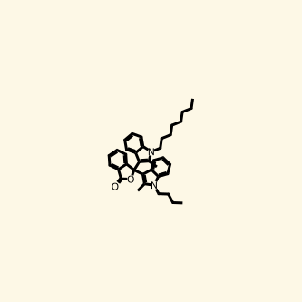 CCCCCCCCn1c(C)c(C2(c3c(C)n(CCCC)c4ccccc34)OC(=O)c3ccccc32)c2ccccc21